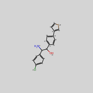 NC(c1ccc(Cl)cc1)C(O)c1ccc(-c2ccsc2)cc1